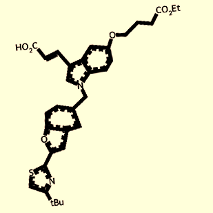 CCOC(=O)CCCOc1ccc2c(c1)c(C=CC(=O)O)cn2Cc1ccc2oc(-c3nc(C(C)(C)C)cs3)cc2c1